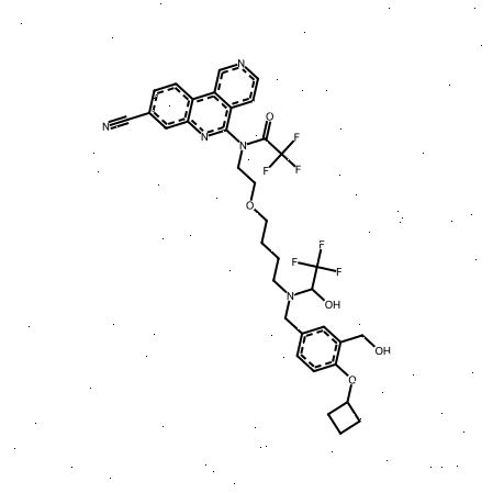 N#Cc1ccc2c(c1)nc(N(CCOCCCCN(Cc1ccc(OC3CCC3)c(CO)c1)C(O)C(F)(F)F)C(=O)C(F)(F)F)c1ccncc12